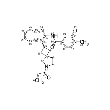 C=CC(=O)N1CC[C@]2(C1)C[C@H](n1c(NC(=O)c3ccn(C)c(=O)c3)nc3ccccc31)C2